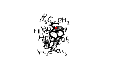 C=C[C@@H](C)CC(=O)[C@]1(O)[C@@H](C)[C@H](O)[C@H](OC(=O)N(C)C)[C@H]2C(C)(C)CC[C@@H](O)[C@@]21C